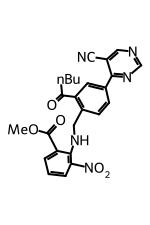 CCCCC(=O)c1cc(-c2ncncc2C#N)ccc1CNc1c(C(=O)OC)cccc1[N+](=O)[O-]